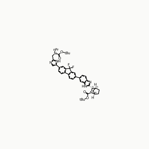 CCCN(Cc1ncc(-c2ccc3c(c2)C(F)(F)c2cc(-c4ccc5nc([C@@H]6[C@H]7CC[C@H](C7)N6C(=O)OC(C)(C)C)[nH]c5c4)ccc2-3)[nH]1)C(=O)OC(C)(C)C